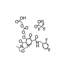 CC1COC2Cn3cc(C(=O)NCc4ccc(F)cc4F)c(=O)c(OCOC(=O)OCC(=O)O)c3C(=O)N12.O=C(O)C(F)(F)F